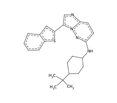 CC(C)(C)C1CCC(Nc2ccc3ncc(-c4cc5ccccc5s4)n3n2)CC1